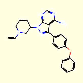 C=CN1CCCC(n2nc(-c3ccc(Oc4ccccc4)cc3)c3c(N)ncnc32)C1